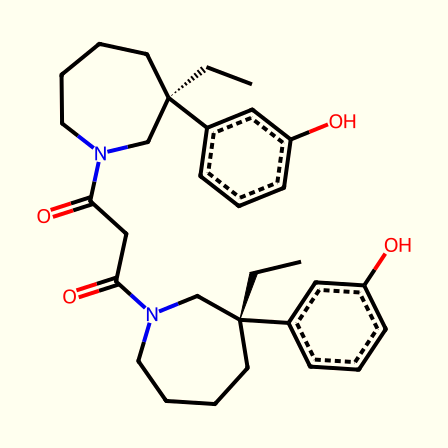 CC[C@@]1(c2cccc(O)c2)CCCCN(C(=O)CC(=O)N2CCCC[C@@](CC)(c3cccc(O)c3)C2)C1